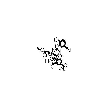 CCOC(=O)COc1nc(Oc2cc(C#N)ccc2Cl)nc(Oc2cc(C(=O)O)cc(C(=O)N(C)C)c2)c1[N+](=O)[O-]